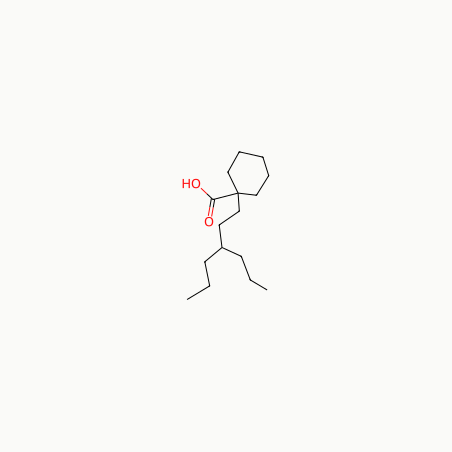 CCCC(CCC)CCC1(C(=O)O)CCCCC1